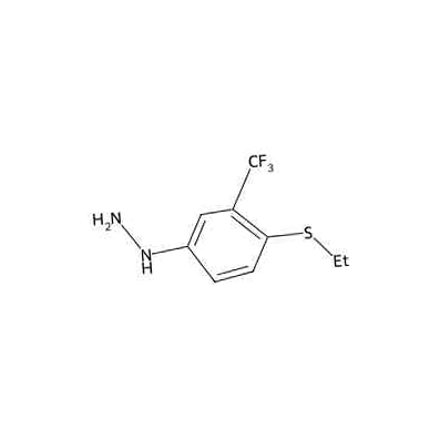 CCSc1ccc(NN)cc1C(F)(F)F